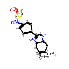 COc1cc2ncc(-c3ccc(N[SH](=O)=O)cc3)nc2cc1OC